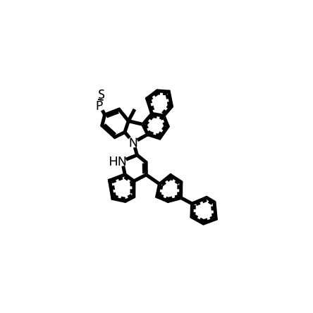 CC12C=C(P=S)C=CC1N(C1C=C(c3ccc(-c4ccccc4)cc3)c3ccccc3N1)c1ccc3ccccc3c12